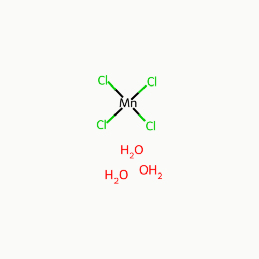 O.O.O.[Cl][Mn]([Cl])([Cl])[Cl]